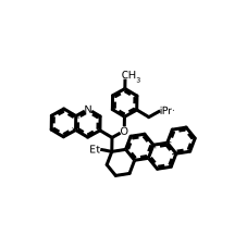 CCC1(C(Oc2ccc(C)cc2C[C](C)C)c2cnc3ccccc3c2)CCCc2c1ccc1c2ccc2ccccc21